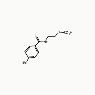 CCC(C)c1ccc(C(=O)NCCOS(=O)(=O)O)cc1